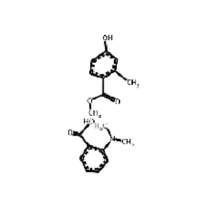 CN(C)c1ccccc1C(=O)O.COC(=O)c1ccc(O)cc1C